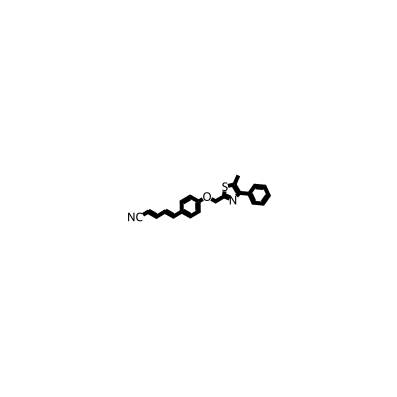 Cc1sc(COc2ccc(/C=C/C=C/C#N)cc2)nc1-c1ccccc1